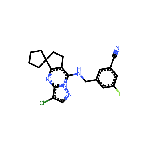 N#Cc1cc(F)cc(CNc2c3c(nc4c(Cl)cnn24)C2(CCCC2)CC3)c1